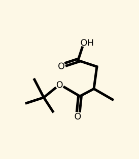 CC(CC(=O)O)C(=O)OC(C)(C)C